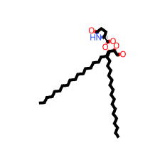 CCCCCCCCCCCCCCCCCC(CCCCCCCCCCCCCCCCC)=C(OC(=O)[C@@H]1CCC(=O)N1)C(=O)C=O